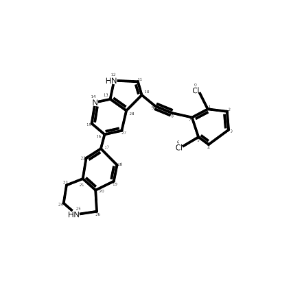 Clc1cccc(Cl)c1C#Cc1c[nH]c2ncc(-c3ccc4c(c3)CCNC4)cc12